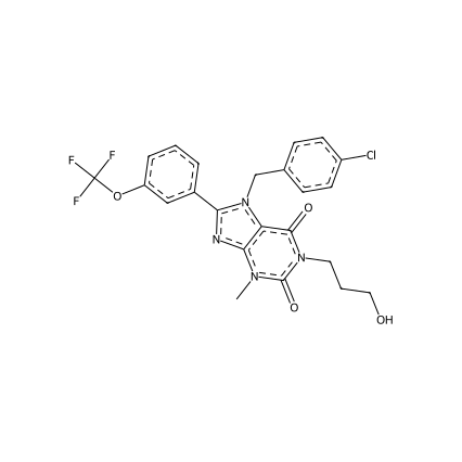 Cn1c(=O)n(CCCO)c(=O)c2c1nc(-c1cccc(OC(F)(F)F)c1)n2Cc1ccc(Cl)cc1